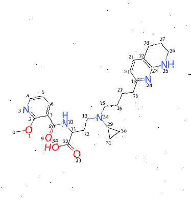 COc1ncccc1C(=O)NC(CCN(CCCCc1ccc2c(n1)NCCC2)C1CC1)C(=O)O